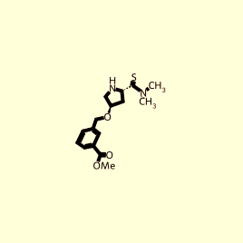 COC(=O)c1cccc(CO[C@H]2CN[C@H](C(=S)N(C)C)C2)c1